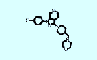 Clc1ccc(-n2nc(N3CCC(CN4CCOCC4)CC3)c3ccncc32)cc1